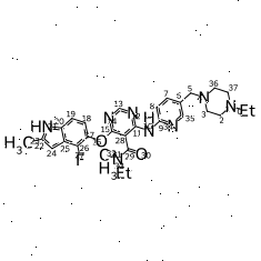 CCN1CCN(Cc2ccc(Nc3ncnc(Oc4ccc5[nH]c(C)cc5c4F)c3C(=O)N(C)CC)nc2)CC1